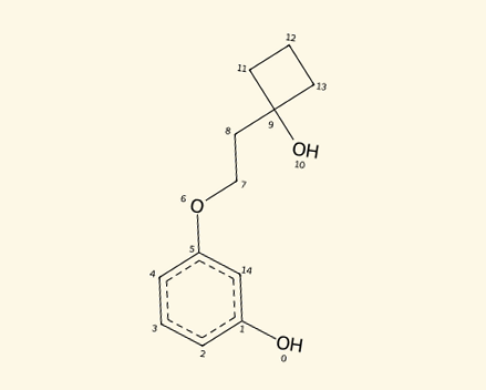 Oc1cccc(OCCC2(O)CCC2)c1